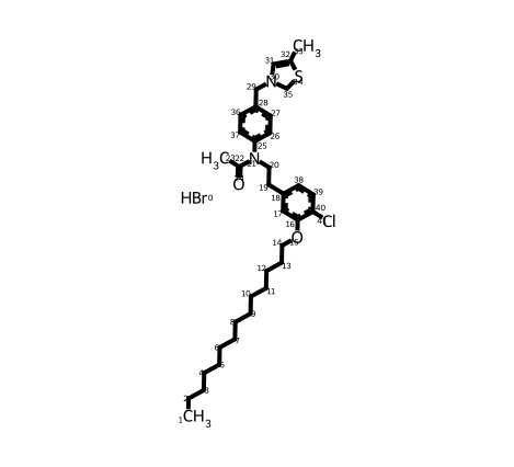 Br.CCCCCCCCCCCCCCOc1cc(CCN(C(C)=O)c2ccc(CN3C=C(C)SC3)cc2)ccc1Cl